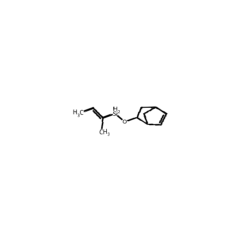 C/C=C(\C)[SiH2]OC1CC2C=CC1C2